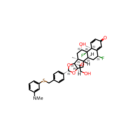 CNc1cccc(SCc2ccc([C@H]3O[C@@H]4C[C@H]5[C@@H]6C[C@H](F)C7=CC(=O)C=C[C@]7(C)[C@@]6(F)[C@@H](O)C[C@]5(C)[C@]4(C(=O)CO)O3)cc2)c1